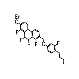 C=CCCc1ccc(OCc2ccc3c(c2F)C(F)C(F)c2c-3ccc(OCC)c2F)cc1F